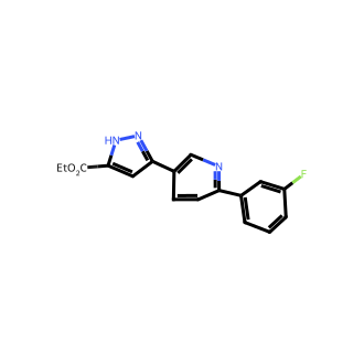 CCOC(=O)c1cc(-c2ccc(-c3cccc(F)c3)nc2)n[nH]1